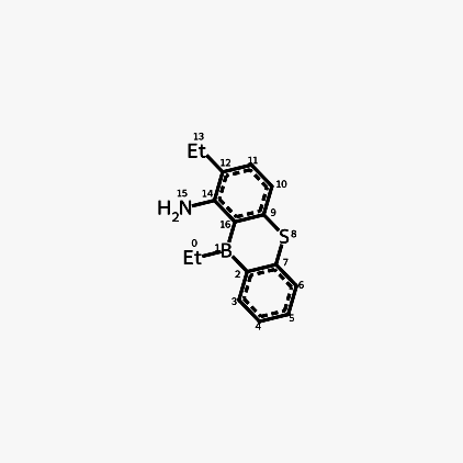 CCB1c2ccccc2Sc2ccc(CC)c(N)c21